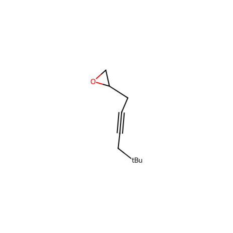 CC(C)(C)CC#CCC1CO1